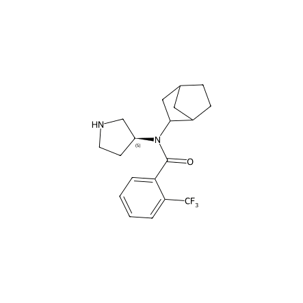 O=C(c1ccccc1C(F)(F)F)N(C1CC2CCC1C2)[C@H]1CCNC1